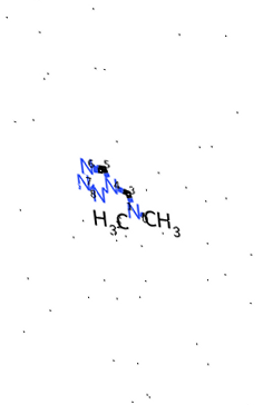 CN(C)Cn1cnnn1